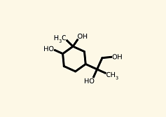 CC1(O)CC(C(C)(O)CO)CCC1O